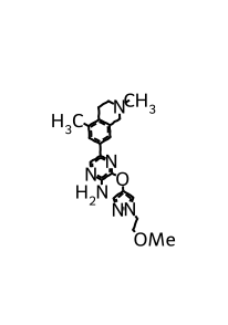 COCCn1cc(Oc2nc(-c3cc(C)c4c(c3)CN(C)CC4)cnc2N)cn1